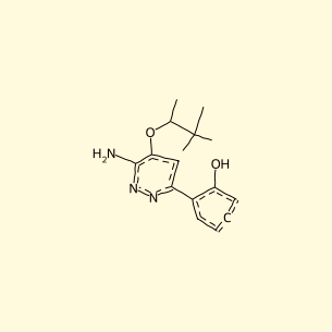 CC(Oc1cc(-c2ccccc2O)nnc1N)C(C)(C)C